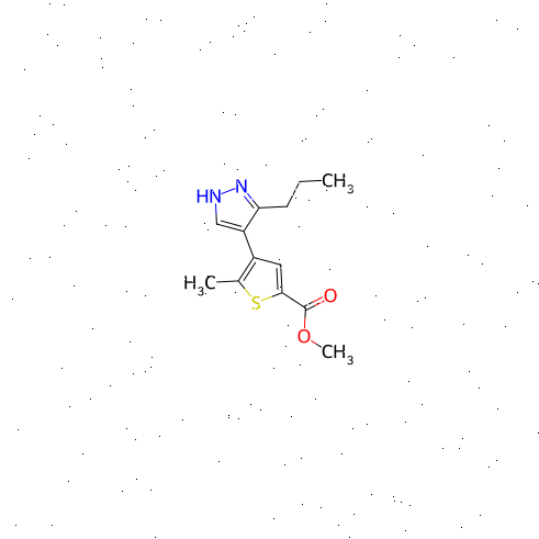 CCCc1n[nH]cc1-c1cc(C(=O)OC)sc1C